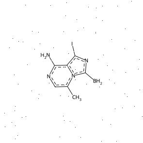 Bc1nc(I)c2c(N)ncc(C)n12